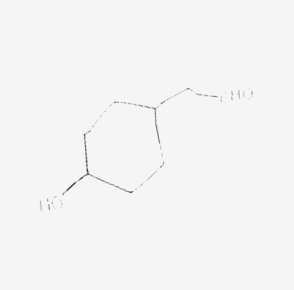 O=CCC1CC[C](O)CC1